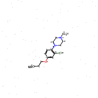 COCCOc1ccc(N2CCN(C(=O)O)CC2)c(Cl)c1